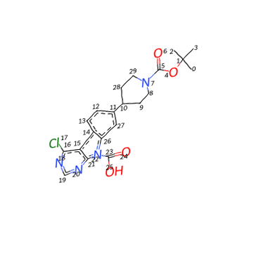 CC(C)(C)OC(=O)N1CCC(c2ccc3c4c(Cl)ncnc4n(C(=O)O)c3c2)CC1